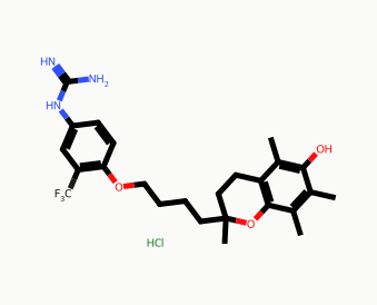 Cc1c(C)c2c(c(C)c1O)CCC(C)(CCCCOc1ccc(NC(=N)N)cc1C(F)(F)F)O2.Cl